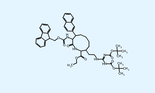 CCOC(=O)C1NC(=O)C(NC(=O)OCC2c3ccccc3-c3ccccc32)C(c2ccc3ccccc3c2)CCCCC1CCNC(=NC(=O)OC(C)(C)C)NC(=O)OC(C)(C)C